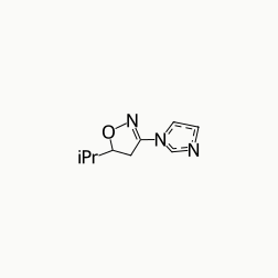 CC(C)C1CC(n2ccnc2)=NO1